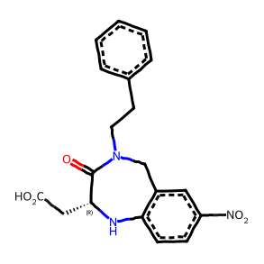 O=C(O)C[C@H]1Nc2ccc([N+](=O)[O-])cc2CN(CCc2ccccc2)C1=O